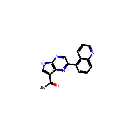 CC(C)(C)C(=O)c1c[nH]c2ncc(-c3cccc4ncccc34)nc12